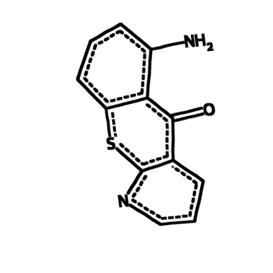 Nc1cccc2sc3ncccc3c(=O)c12